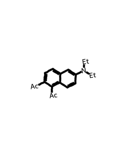 CCN(CC)c1ccc2c(C(C)=O)c(C(C)=O)ccc2c1